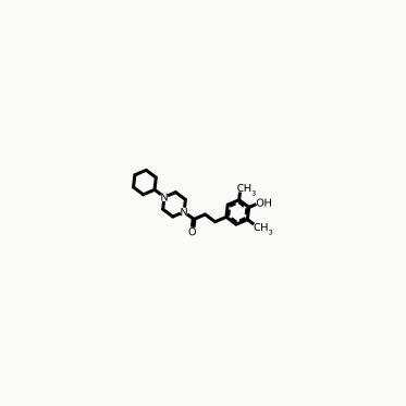 Cc1cc(CCC(=O)N2CCN(C3CCCCC3)CC2)cc(C)c1O